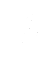 Cc1ccccc1Cn1cnc(=O)c2sc(N3C[C@@H](C)O[C@@H](C)C3)nc21